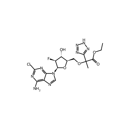 CCOC(=O)C(C)(OC[C@H]1O[C@@H](n2cnc3c(N)nc(Cl)nc32)[C@@H](F)[C@@H]1O)c1nn[nH]n1